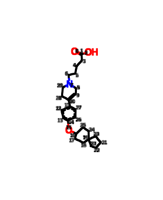 O=C(O)CCCCN1CC=C(c2ccc(OC3CCC4(CCCC4)CC3)cc2)CC1